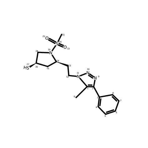 Cc1c(-c2ccccc2)nnn1CC[C@H]1C[C@@H](S)CN1S(C)(=O)=O